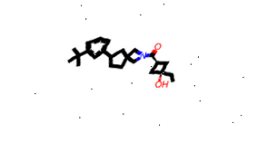 CC[C@]1(O)C[C@@H](C(=O)N2CC3(CCC(c4cccc(C(C)(C)C)c4)C3)C2)C1